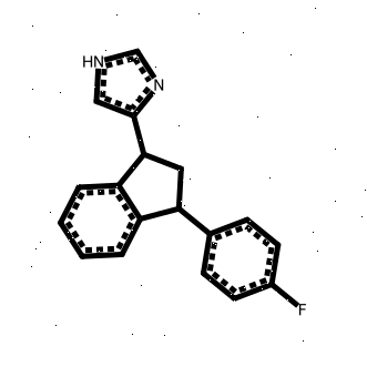 Fc1ccc(C2CC(c3c[nH]cn3)c3ccccc32)cc1